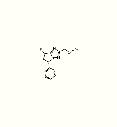 CC(C)OCc1nc2n(n1)C(c1ccccc1)CC2F